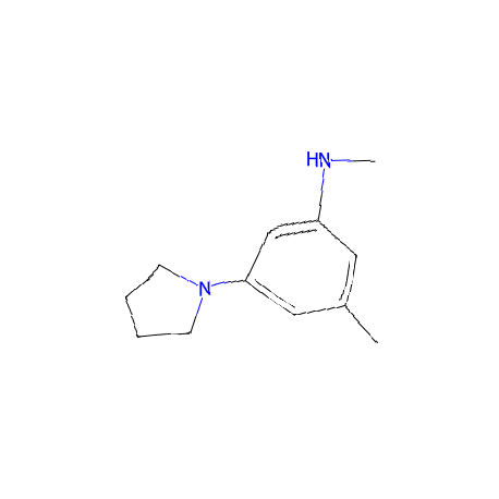 CNc1cc(C)cc(N2CCCC2)c1